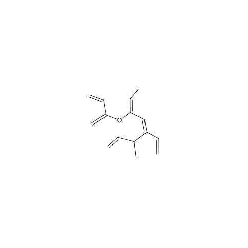 C=CC(=C)OC(/C=C(/C=C)C(C)C=C)=C/C